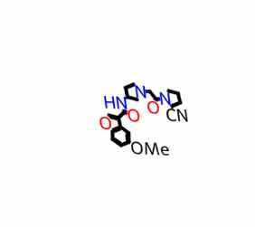 COc1ccc2occ(C(=O)N[C@H]3CCN(CC(=O)N4CCC[C@H]4C#N)C3)c2c1